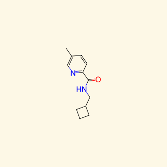 Cc1ccc(C(=O)NCC2CCC2)nc1